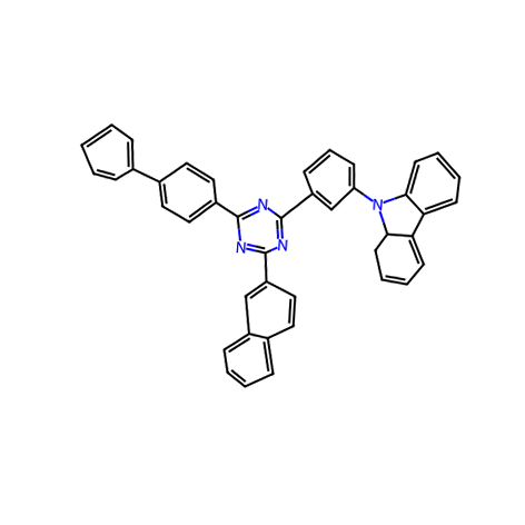 C1=CCC2C(=C1)c1ccccc1N2c1cccc(-c2nc(-c3ccc(-c4ccccc4)cc3)nc(-c3ccc4ccccc4c3)n2)c1